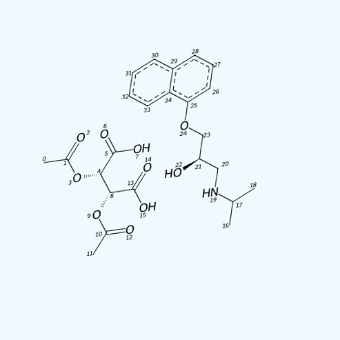 CC(=O)O[C@H](C(=O)O)[C@@H](OC(C)=O)C(=O)O.CC(C)NC[C@@H](O)COc1cccc2ccccc12